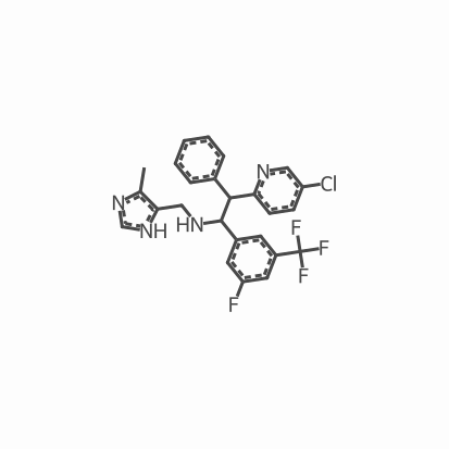 Cc1nc[nH]c1CNC(c1cc(F)cc(C(F)(F)F)c1)C(c1ccccc1)c1ccc(Cl)cn1